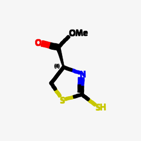 COC(=O)[C@@H]1CSC(S)=N1